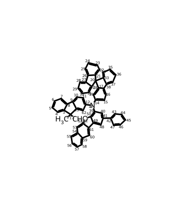 CC1(C)c2ccccc2-c2ccc(N(c3ccc4c(c3)C3(c5ccccc5-c5ccccc53)c3ccccc3-4)c3cc(-c4ccccc4)cc4c3oc3cc5ccccc5cc34)cc21